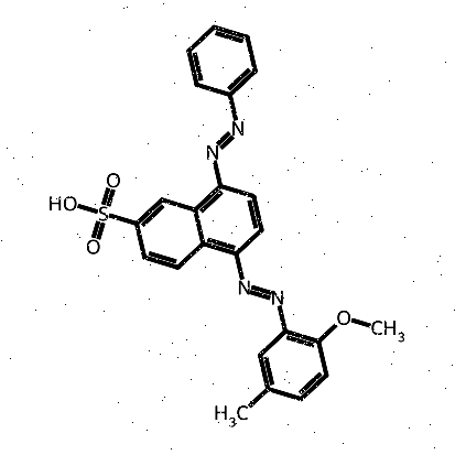 COc1ccc(C)cc1N=Nc1ccc(N=Nc2ccccc2)c2cc(S(=O)(=O)O)ccc12